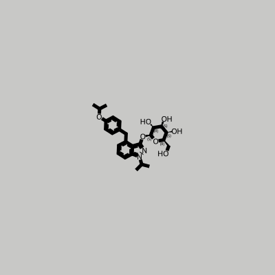 CC(C)Oc1ccc(Cc2cccc3c2c(O[C@@H]2O[C@H](CO)[C@@H](O)[C@H](O)[C@H]2O)nn3C(C)C)cc1